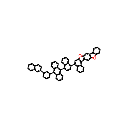 c1cc(-c2ccc3ccccc3c2)cc(-c2c3ccccc3c(-c3ccc(-c4cc5oc6cc7c(cc6c5c5ccccc45)oc4ccccc47)c4ccccc34)c3ccccc23)c1